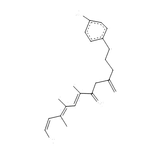 C=C(CCCc1ccc(O)cc1)CC(=N)/C(C)=C/C(C)=C(C)/C=C\S